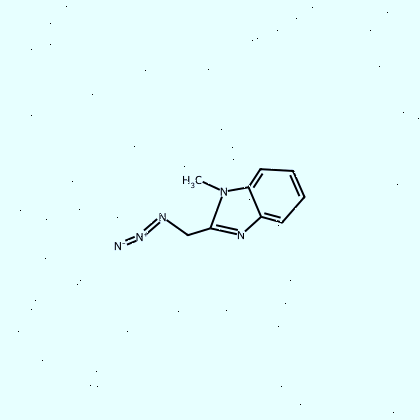 Cn1c(CN=[N+]=[N-])nc2ccccc21